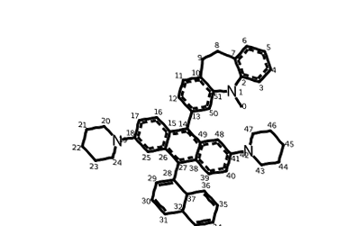 CN1c2ccccc2CCc2ccc(-c3c4ccc(N5CCCCC5)cc4c(C4=CC=CC5C=CC=CC45)c4ccc(N5CCCCC5)cc34)cc21